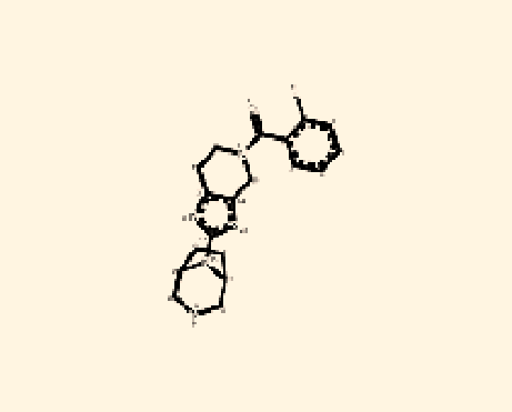 O=C(c1ccccc1Cl)N1CCc2nc(N3C4CCC3CNC4)sc2C1